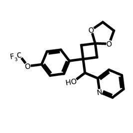 OC(c1ccccn1)C1(c2ccc(OC(F)(F)F)cc2)CC2(C1)OCCO2